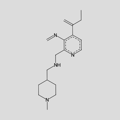 C=Nc1c(C(=C)CC)ccnc1CNCC1CCN(C)CC1